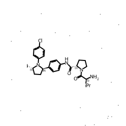 CC(C)[C@H](N)C(=O)N1CCC[C@H]1C(=O)Nc1ccc([C@H]2CC[C@H](I)N2c2ccc(Cl)cc2)cc1